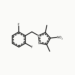 Cc1nn(Cc2c(F)cccc2F)c(C)c1[N+](=O)[O-]